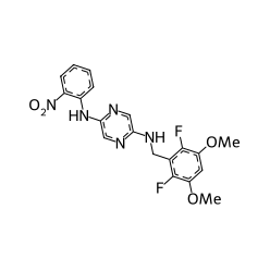 COc1cc(OC)c(F)c(CNc2cnc(Nc3ccccc3[N+](=O)[O-])cn2)c1F